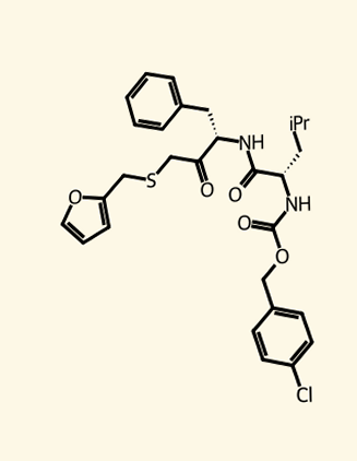 CC(C)C[C@H](NC(=O)OCc1ccc(Cl)cc1)C(=O)N[C@@H](Cc1ccccc1)C(=O)CSCc1ccco1